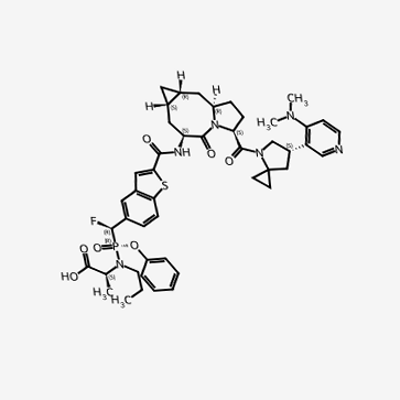 CCCN([C@@H](C)C(=O)O)[P@](=O)(Oc1ccccc1)[C@@H](F)c1ccc2sc(C(=O)N[C@H]3C[C@@H]4C[C@@H]4C[C@H]4CC[C@@H](C(=O)N5C[C@H](c6cnccc6N(C)C)CC56CC6)N4C3=O)cc2c1